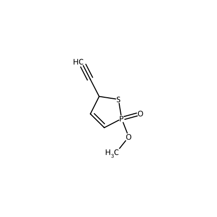 C#CC1C=CP(=O)(OC)S1